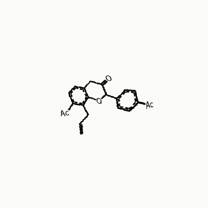 C=CCc1c(C(C)=O)ccc2c1OC(c1ccc(C(C)=O)cc1)C(=O)C2